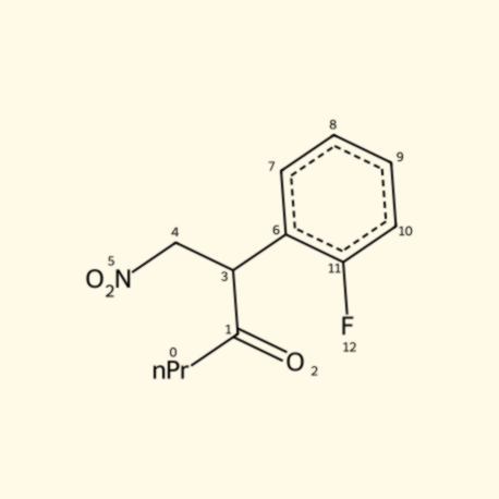 CCCC(=O)C(C[N+](=O)[O-])c1ccccc1F